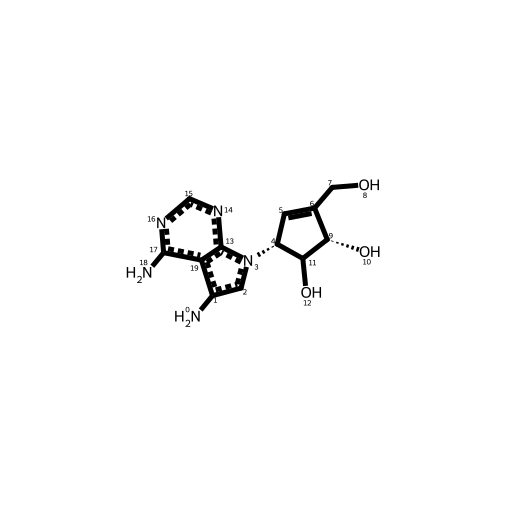 Nc1cn([C@@H]2C=C(CO)[C@H](O)C2O)c2ncnc(N)c12